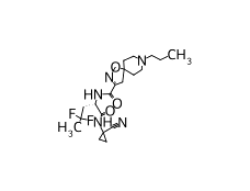 CCCN1CCC2(CC1)CC(C(=O)N[C@@H](CC(C)(F)F)C(=O)NC1(C#N)CC1)=NO2